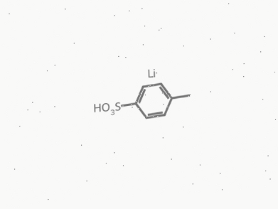 Cc1ccc(S(=O)(=O)O)cc1.[Li]